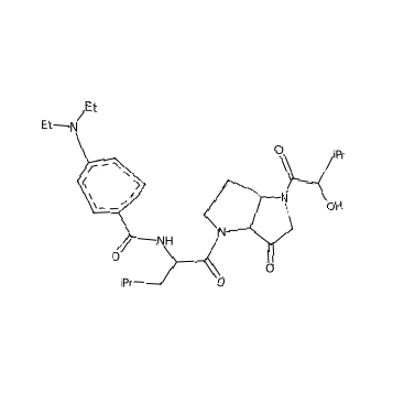 CCN(CC)c1ccc(C(=O)NC(CC(C)C)C(=O)N2CCC3C2C(=O)CN3C(=O)C(O)C(C)C)cc1